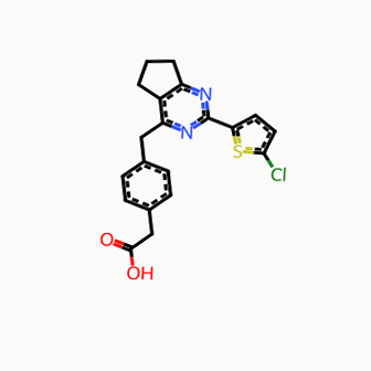 O=C(O)Cc1ccc(Cc2nc(-c3ccc(Cl)s3)nc3c2CCC3)cc1